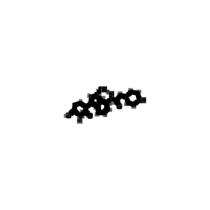 Cn1nc(C2CCC(=O)NC2=O)c2cccc(NC(=O)CN3CCNCC3)c21